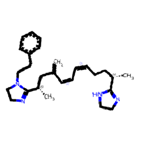 C=C(/C=C\C=C/CC[C@H](C)C1=NCCN1)C[C@H](C)C1=NCCN1CCc1ccccc1